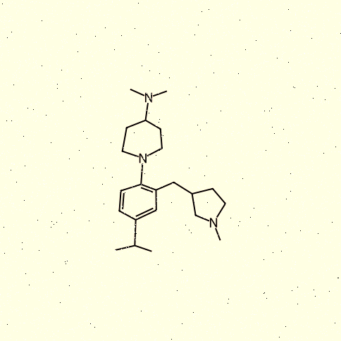 CC(C)c1ccc(N2CCC(N(C)C)CC2)c(CC2CCN(C)C2)c1